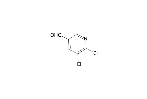 O=[C]c1cnc(Cl)c(Cl)c1